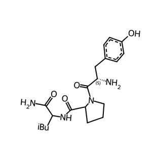 CCC(C)C(NC(=O)C1CCCN1C(=O)[C@@H](N)Cc1ccc(O)cc1)C(N)=O